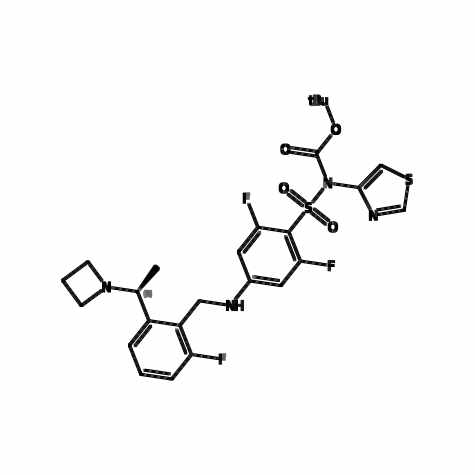 C[C@@H](c1cccc(F)c1CNc1cc(F)c(S(=O)(=O)N(C(=O)OC(C)(C)C)c2cscn2)c(F)c1)N1CCC1